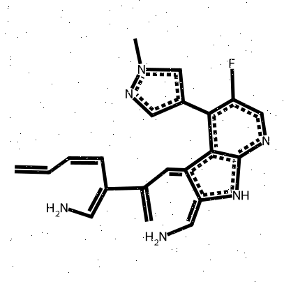 C=C/C=C\C(=C/N)C(=C)/C=c1\c(=C/N)[nH]c2ncc(F)c(-c3cnn(C)c3)c12